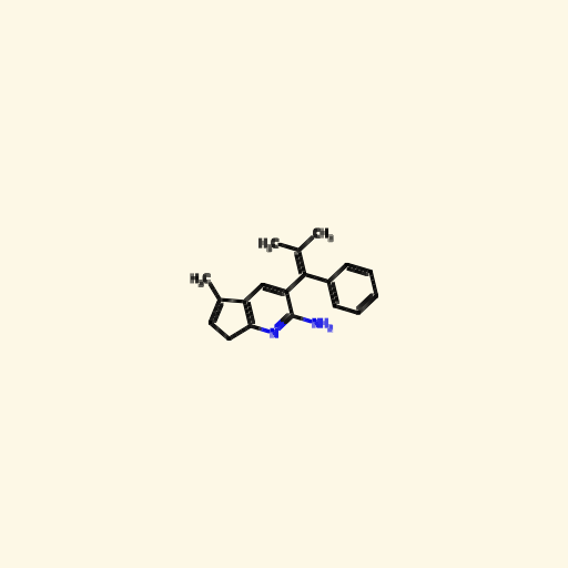 CC1=CCc2nc(N)c(C(=C(C)C)c3ccccc3)cc21